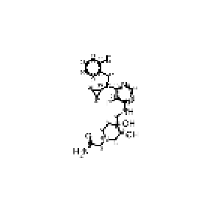 NC(=O)CN1CC[C@@](O)(CNc2ncnc(N(Cc3ccccc3F)C3CC3)c2F)[C@H](O)C1